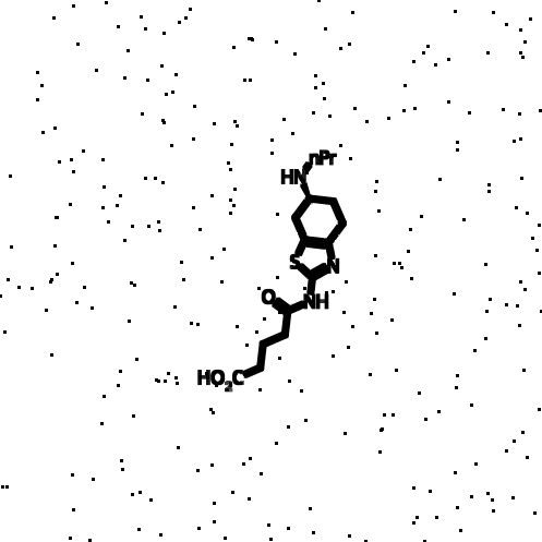 CCCN[C@H]1CCc2nc(NC(=O)CCCC(=O)O)sc2C1